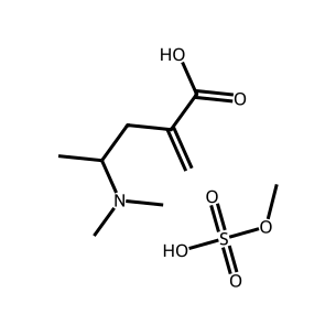 C=C(CC(C)N(C)C)C(=O)O.COS(=O)(=O)O